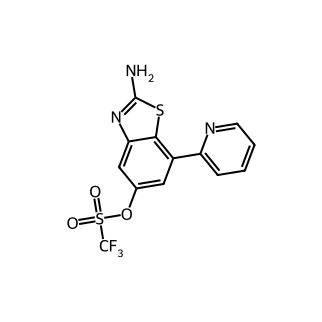 Nc1nc2cc(OS(=O)(=O)C(F)(F)F)cc(-c3ccccn3)c2s1